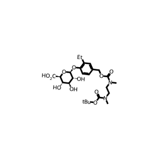 CCc1cc(COC(=O)N(C)CCN(C)C(=O)OC(C)(C)C)ccc1O[C@@H]1O[C@H](C(=O)O)[C@@H](O)[C@H](O)[C@H]1O